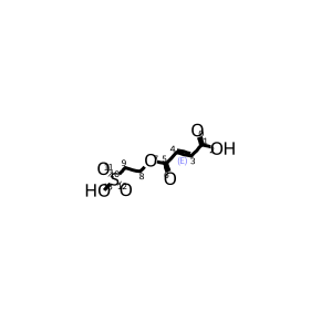 O=C(O)/C=C/C(=O)OCCS(=O)(=O)O